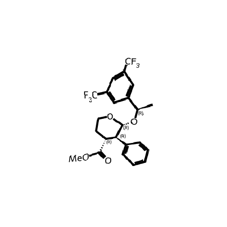 COC(=O)[C@@H]1CCO[C@H](O[C@H](C)c2cc(C(F)(F)F)cc(C(F)(F)F)c2)[C@H]1c1ccccc1